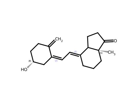 C=C1CC[C@@H](O)C/C1=C/C=C1\CCC[C@]2(C)C(=O)CCC12